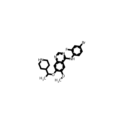 COc1cc2c(Nc3ccc(Br)cc3F)ncnc2cc1OC(C)C1CCNCC1